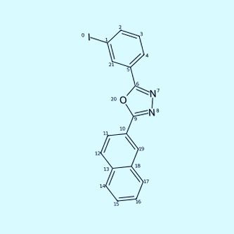 Ic1cccc(-c2nnc(-c3ccc4ccccc4c3)o2)c1